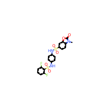 Cn1c(=O)oc2cc(S(=O)(=O)Nc3ccc(NS(=O)(=O)c4c(F)cccc4F)cc3)ccc21